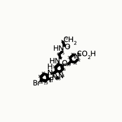 C=CC(=O)NCCCNc1cc2c(Nc3ccc(Br)cc3F)ncnc2cc1OCC1CCN(C(=O)O)CC1